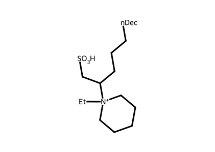 CCCCCCCCCCCCCC(CS(=O)(=O)O)[N+]1(CC)CCCCC1